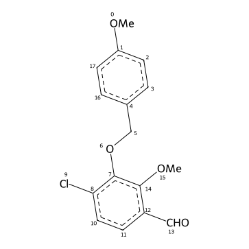 COc1ccc(COc2c(Cl)ccc(C=O)c2OC)cc1